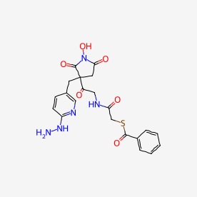 NNc1ccc(CC2(C(=O)CNC(=O)CSC(=O)c3ccccc3)CC(=O)N(O)C2=O)cn1